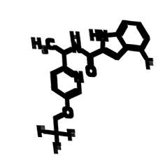 CC(NC(=O)c1cc2c(F)cccc2[nH]1)c1ccc(OCC(F)(F)F)cn1